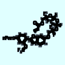 C=CC(=O)OCC(F)(F)OC(F)(F)OC(F)(F)OC(F)(F)COc1ccc2cc(-c3ccc(CCCCC)cc3OC(F)(F)F)oc2c1